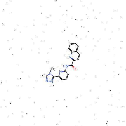 CC(C)n1cnnc1-c1cccc(NC(=O)c2ccc3ccccc3n2)n1